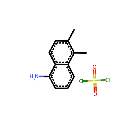 Cc1ccc2c(N)cccc2c1C.O=S(=O)(Cl)Cl